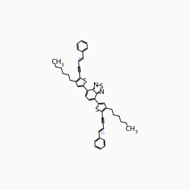 CCCCCCc1cc(-c2ccc(-c3cc(CCCCCC)c(C#C/C=C/c4ccccc4)s3)c3nsnc23)sc1C#C/C=C/c1ccccc1